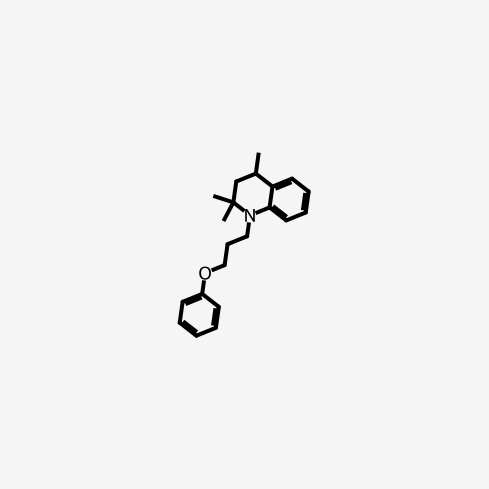 CC1CC(C)(C)N(CCCOc2ccccc2)c2ccccc21